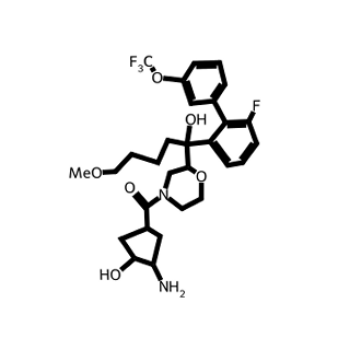 COCCCCC(O)(c1cccc(F)c1-c1cccc(OC(F)(F)F)c1)C1CN(C(=O)C2CC(N)C(O)C2)CCO1